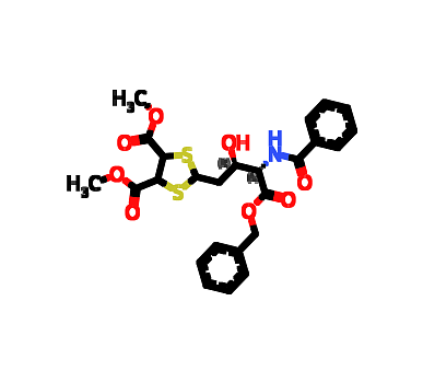 COC(=O)C1SC(C[C@@H](O)[C@H](NC(=O)c2ccccc2)C(=O)OCc2ccccc2)SC1C(=O)OC